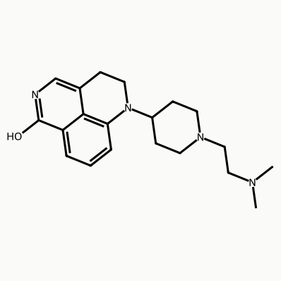 CN(C)CCN1CCC(N2CCc3cnc(O)c4cccc2c34)CC1